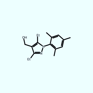 CCc1nn(-c2c(C)cc(C)cc2C)c(CC)c1CO